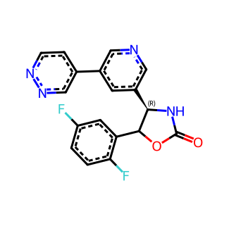 O=C1N[C@H](c2cncc(-c3ccnnc3)c2)C(c2cc(F)ccc2F)O1